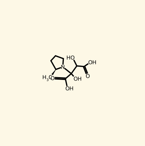 C[C@H]1CCCN1C(O)(C(=O)O)C(O)C(=O)O